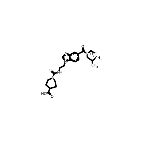 CCN(CC(C)C)C(=O)c1ccc2c(c1)ncn2CCNC(=O)N1CCC(C(=O)O)CC1